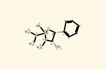 C[C@H]1[C@@H](c2ccccc2)O[PH](S)(N(C)C)N1C